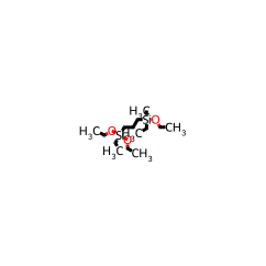 CCO[Si](C)(CC)CCC[Si](CC)(OCC)OCC